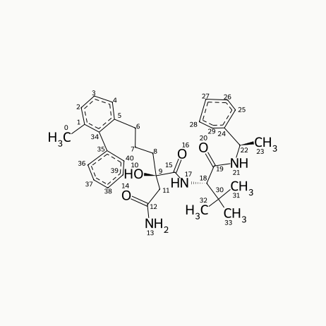 Cc1cccc(CCC[C@@](O)(CC(N)=O)C(=O)N[C@H](C(=O)N[C@H](C)c2ccccc2)C(C)(C)C)c1-c1ccccc1